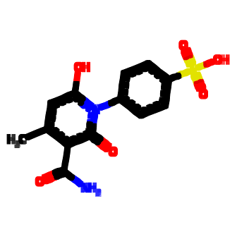 Cc1cc(O)n(-c2ccc(S(=O)(=O)O)cc2)c(=O)c1C(N)=O